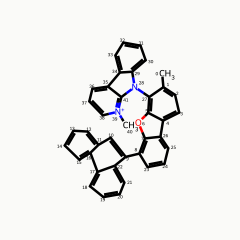 Cc1ccc2c(oc3c(-c4cc5ccccc5c5ccccc45)cccc32)c1-n1c2ccccc2c2ccc[n+](C)c21